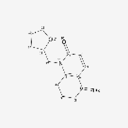 O=C1CCCc2c1ccc(=O)n2CC1CCCO1